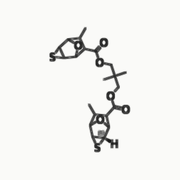 CC1C2OC(C3SC23)C1C(=O)OCC(C)(C)COC(=O)C1C(C)C2OC1[C@@H]1SC21